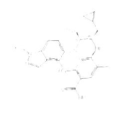 C[C@H](N)[C@@H](CC1CC1)Nc1nc(Nc2cccc3c2cnn3C)c(C(N)=O)cc1F